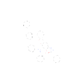 c1ccc(-c2ccc(-c3cccc(N(c4ccccc4)c4c5oc(-c6ccccc6)nc5cc5c4oc4ccccc45)c3)cc2)cc1